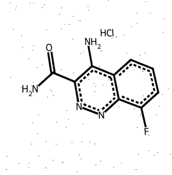 Cl.NC(=O)c1nnc2c(F)cccc2c1N